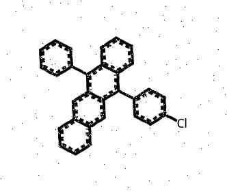 Clc1ccc(-c2c3ccccc3c(-c3ccccc3)c3cc4ccccc4cc23)cc1